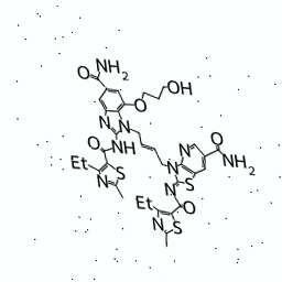 CCc1nc(C)sc1C(=O)/N=c1\sc2cc(C(N)=O)cnc2n1C/C=C/Cn1c(NC(=O)c2sc(C)nc2CC)nc2cc(C(N)=O)cc(OCCCO)c21